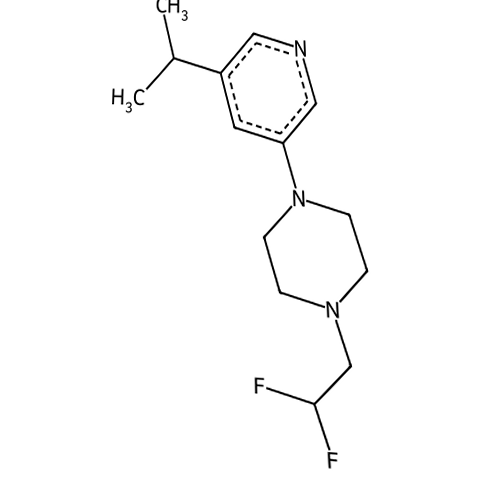 CC(C)c1cncc(N2CCN(CC(F)F)CC2)c1